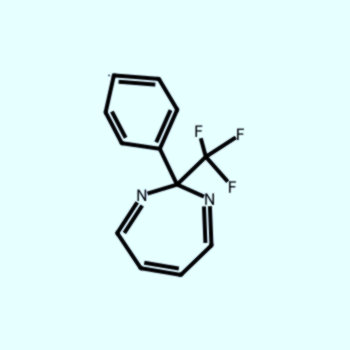 FC(F)(F)C1(c2cc[c]cc2)N=CC=CC=N1